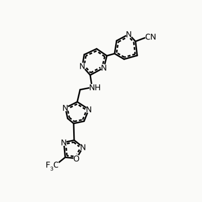 N#Cc1ccc(-c2ccnc(NCc3ncc(-c4noc(C(F)(F)F)n4)cn3)n2)cn1